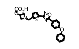 O=C(O)OC1CN(Cc2ccc(-c3noc(-c4ccc(Oc5ccccc5)cc4)n3)s2)C1